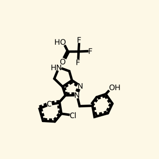 O=C(O)C(F)(F)F.Oc1cccc(Cn2nc3c(c2-c2ccccc2Cl)CNC3)c1